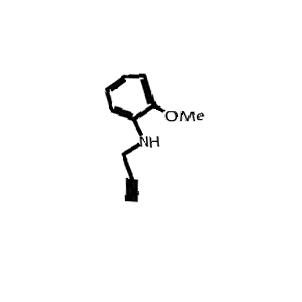 C#CCNc1ccccc1OC